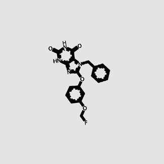 O=c1[nH]c(=O)c2c(nc(Oc3cccc(OCF)c3)n2Cc2ccccc2)[nH]1